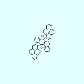 OC1(c2ccc3ccc4cccc5ccc2c3c45)c2ccccc2C(O)(c2ccc3ccc4cccc5ccc2c3c45)c2c1ccc1ccccc21